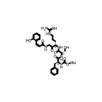 CC(C)(C)OC(=O)N[C@@H](Cc1ccccc1)C(=O)N[C@@H](CO)C(=O)N[C@@H](CCCNC(=N)N)C(=O)CNC(=O)/C=C\c1ccccc1O